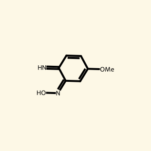 COC1=C/C(=N/O)C(=N)C=C1